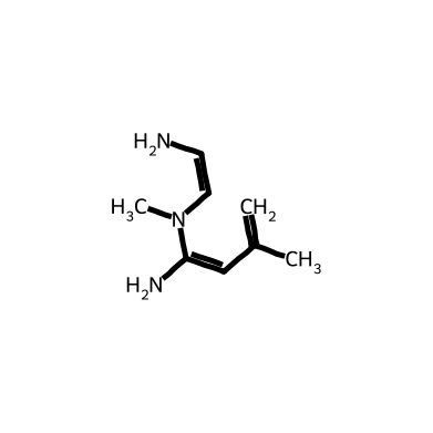 C=C(C)/C=C(/N)N(C)/C=C\N